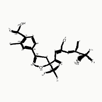 C=C(/C=C(Cl)\C=C(/C)C(F)(F)F)C1(C(F)(F)F)CC(c2ccc(C(=O)O)c(C)c2)=NO1